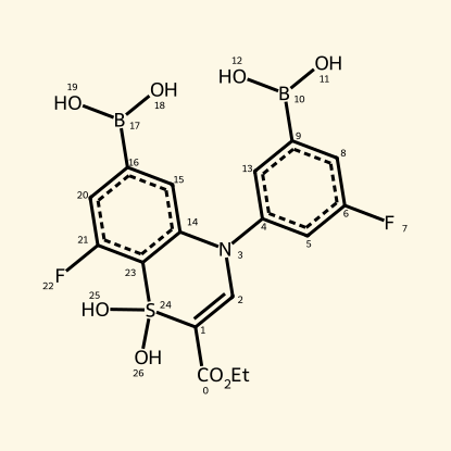 CCOC(=O)C1=CN(c2cc(F)cc(B(O)O)c2)c2cc(B(O)O)cc(F)c2S1(O)O